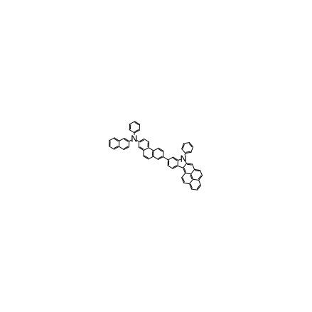 c1ccc(N(c2ccc3ccccc3c2)c2ccc3c(ccc4cc(-c5ccc6c7c8ccc9cccc%10ccc(cc7n(-c7ccccc7)c6c5)c8c%109)ccc43)c2)cc1